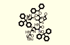 CC(C)(C)OC(=O)Nc1nc(/C(=N/OC(c2ccccc2)(c2ccccc2)c2ccccc2)C(=O)NC2SC3CC(=O)N3C(C(=O)OC(c3ccccc3)c3ccccc3)=C2CSc2cn(C(c3ccccc3)(c3ccccc3)c3ccccc3)nn2)cs1